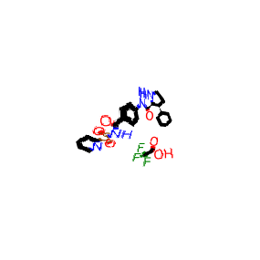 O=C(NS(=O)(=O)c1ccccn1)c1ccc(NC(=O)[C@H]2NCC[C@H]2C2CCCCC2)cc1.O=C(O)C(F)(F)F